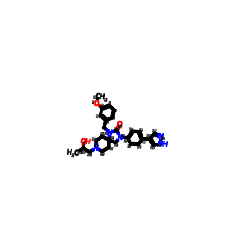 COc1cccc(CN2C(=O)N(c3ccc(-c4cn[nH]c4)cc3)CC23CCN(CC(C)O)CC3)c1